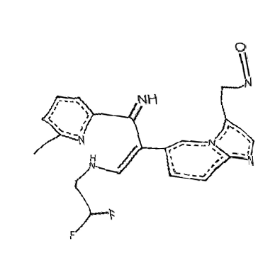 Cc1cccc(C(=N)/C(=C\NCC(F)F)c2ccc3ncc(CN=O)n3c2)n1